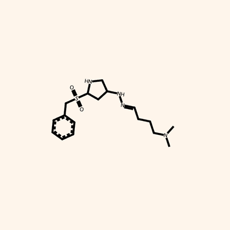 CN(C)CCCC=NNC1CNC(S(=O)(=O)Cc2ccccc2)C1